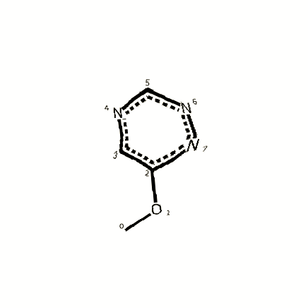 COc1[c]ncnn1